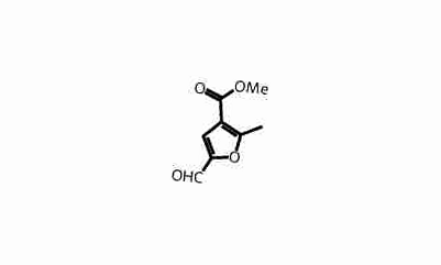 COC(=O)c1cc(C=O)oc1C